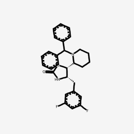 O=C1N[C@@H](Cc2cc(F)cc(F)c2)[C@@H](C2CCCCN2C(c2ccccc2)c2ccccc2)O1